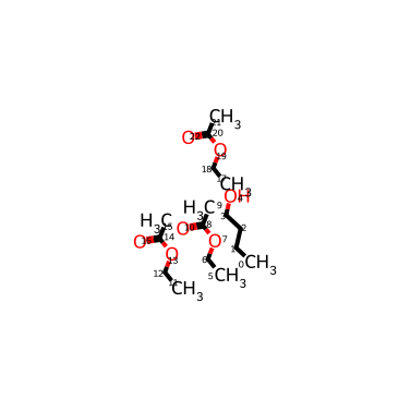 CCCCO.CCOC(C)=O.CCOC(C)=O.CCOC(C)=O